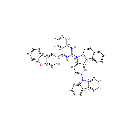 c1ccc2c(c1)ccc1c2c2cc(-n3c4ccccc4c4ccccc43)ccc2n1-c1nc(-c2ccc3oc4ccccc4c3c2)c2ccccc2n1